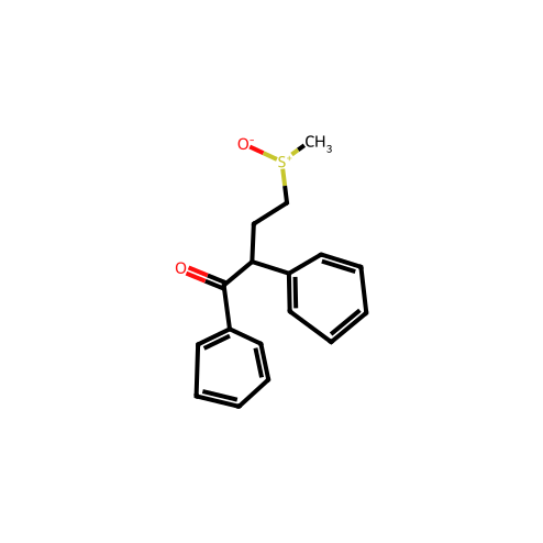 C[S+]([O-])CCC(C(=O)c1ccccc1)c1ccccc1